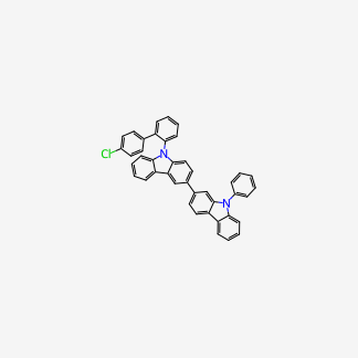 Clc1ccc(-c2ccccc2-n2c3ccccc3c3cc(-c4ccc5c6ccccc6n(-c6ccccc6)c5c4)ccc32)cc1